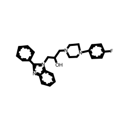 OC(CN1CCN(c2ccc(F)cc2)CC1)Cn1c(-c2ccccc2)nc2ccccc21